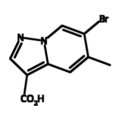 Cc1cc2c(C(=O)O)cnn2cc1Br